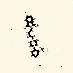 COc1ccccc1N1CCN(C/C=C\CN2C(=O)c3ccccc3C2=O)CC1